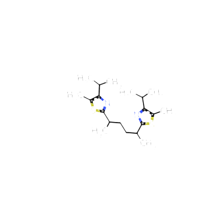 Cc1sc(C(C)CCC(C)c2nc(C(C)C)c(C)s2)nc1C(C)C